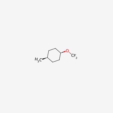 C[C@H]1CC[C@@H](OC(F)(F)F)CC1